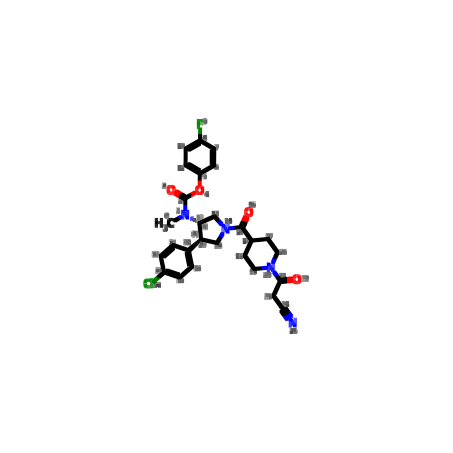 CN(C(=O)Oc1ccc(F)cc1)[C@@H]1CN(C(=O)C2CCN(C(=O)CC#N)CC2)C[C@H]1c1ccc(Cl)cc1